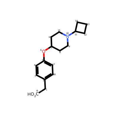 O=C(O)Cc1ccc(OC2CCN(C3CCC3)CC2)cc1